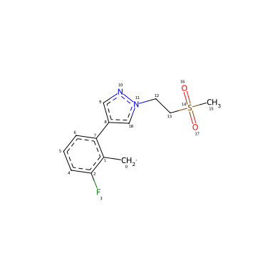 [CH2]c1c(F)cccc1-c1cnn(CCS(C)(=O)=O)c1